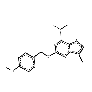 COc1ccc(CSc2nc(N(C)C)c3ncn(C)c3n2)cc1